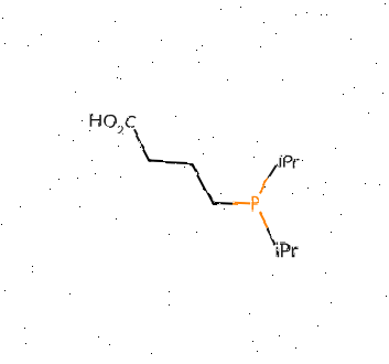 CC(C)P(CCCC(=O)O)C(C)C